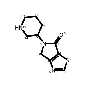 O=C1c2scnc2CN1C1CCCNC1